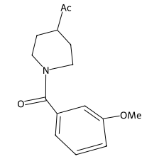 COc1cccc(C(=O)N2CCC(C(C)=O)CC2)c1